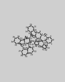 c1ccc2c(c1)Sc1cc3c4ccccc4n(-c4nc(-c5cccc6ccccc56)c5oc6ccccc6c5n4)c3cc1C21c2ccccc2-c2ccccc21